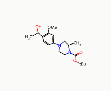 COc1cc(N2CCN(C(=O)OC(C)(C)C)[C@H](C)C2)ccc1C(C)O